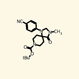 CN1CN(c2ccc(C#N)cc2)C2(CCN(C(=O)OC(C)(C)C)CC2)C1=O